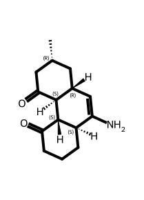 C[C@H]1CC(=O)[C@@H]2[C@H]3C(=O)CCC[C@@H]3C(N)=C[C@H]2C1